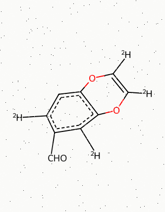 [2H]C1=C([2H])Oc2c(cc([2H])c(C=O)c2[2H])O1